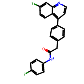 O=C(Cc1ccc(-c2ccnc3cc(F)ccc23)cc1)Nc1ccc(F)cc1